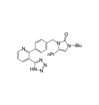 CCCc1cn(C(C)CC)c(=O)n1Cc1ccc(-c2ncccc2-c2nnn[nH]2)cc1